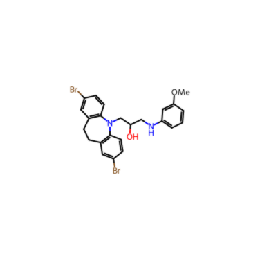 COc1cccc(NCC(O)CN2c3ccc(Br)cc3CCc3cc(Br)ccc32)c1